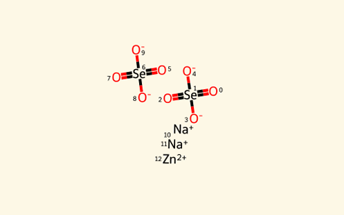 O=[Se](=O)([O-])[O-].O=[Se](=O)([O-])[O-].[Na+].[Na+].[Zn+2]